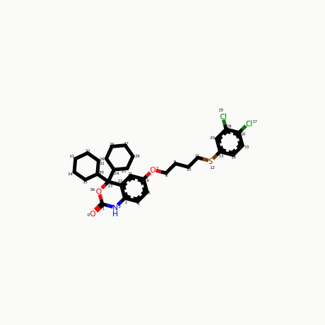 O=C1Nc2ccc(OCCCCSc3ccc(Cl)c(Cl)c3)cc2C(C2CCCCC2)(C2CCCCC2)O1